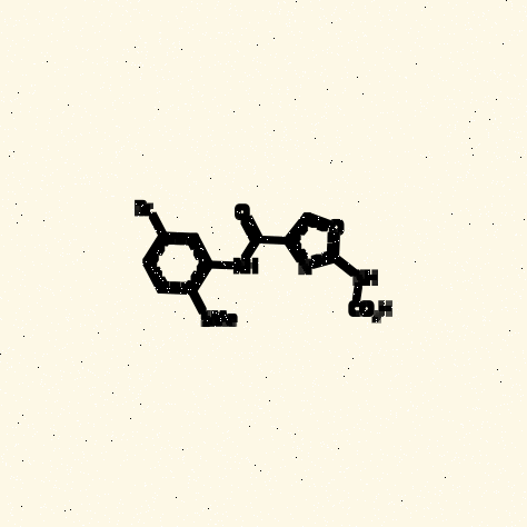 CSc1ccc(Br)cc1NC(=O)c1coc(NC(=O)O)n1